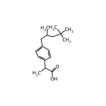 CC(Cc1ccc(C(C)C(=O)O)cc1)CC(C)(C)C